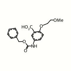 COCCOc1ccc(NC(=O)OCc2ccccc2)cc1C(=O)O